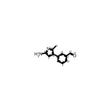 Cc1sc(N)cc1-c1cccc(C=O)c1